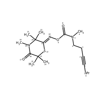 CCCC#CCCN(C)C(=O)ON=C1SC(C)(C)C(=O)N(C)C1(C)C